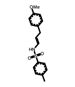 COc1ccc(C/C=C/NS(=O)(=O)c2ccc(C)cc2)cc1